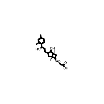 Cc1ccc(C(O)C=CC2C[C@@H]3C(=NOCC(=O)O)C[C@H]3C2O)c(C)c1